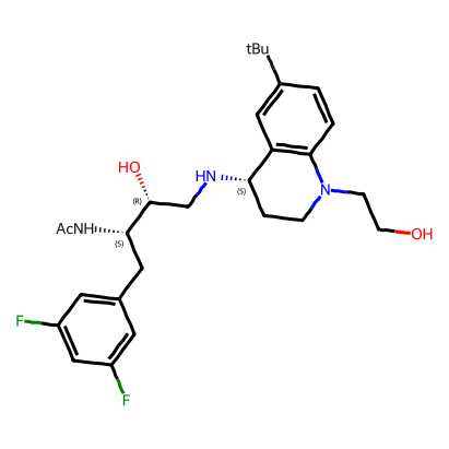 CC(=O)N[C@@H](Cc1cc(F)cc(F)c1)[C@H](O)CN[C@H]1CCN(CCO)c2ccc(C(C)(C)C)cc21